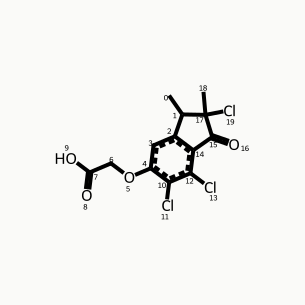 CC1c2cc(OCC(=O)O)c(Cl)c(Cl)c2C(=O)C1(C)Cl